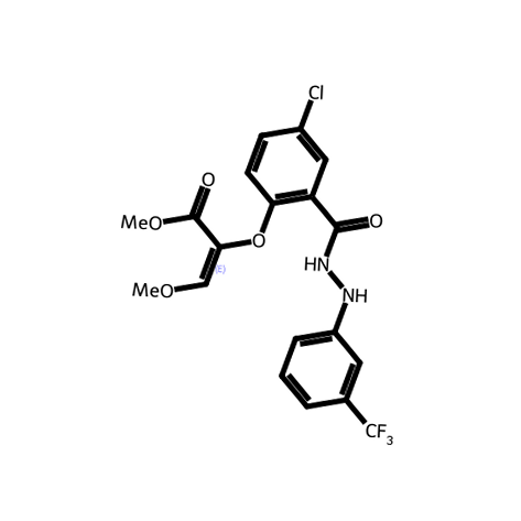 CO/C=C(/Oc1ccc(Cl)cc1C(=O)NNc1cccc(C(F)(F)F)c1)C(=O)OC